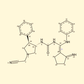 N#CCN1C[C@@H](NC(=O)N/C(Nc2ccccc2)=C2\CCCC2=N)[C@H](c2ccccc2)C1